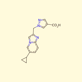 O=C(O)c1cnn(Cc2cn3cc(C4CC4)ccc3n2)c1